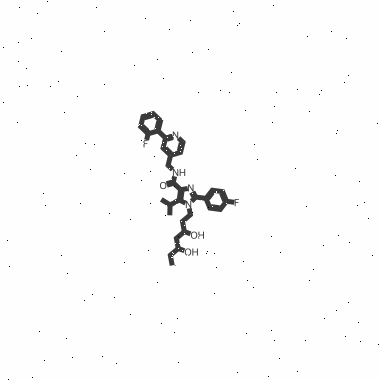 [CH2]CC(O)CC(O)CCn1c(-c2ccc(F)cc2)nc(C(=O)NCc2ccnc(-c3ccccc3F)c2)c1C(C)C